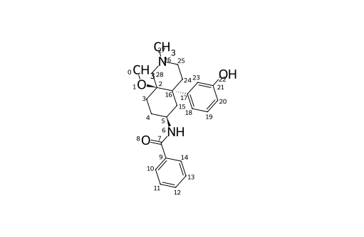 CO[C@]12CC[C@H](NC(=O)c3ccccc3)C[C@]1(c1cccc(O)c1)CCN(C)C2